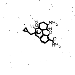 NC(=O)c1ccc2c3c1O[C@H]1[C@H](N)CC[C@@]4(O)[C@@H](C2)N(CC2CC2)CC[C@]314